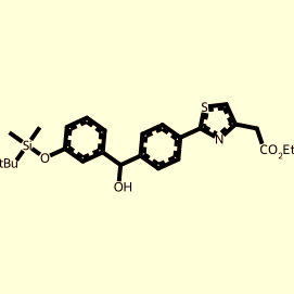 CCOC(=O)Cc1csc(-c2ccc(C(O)c3cccc(O[Si](C)(C)C(C)(C)C)c3)cc2)n1